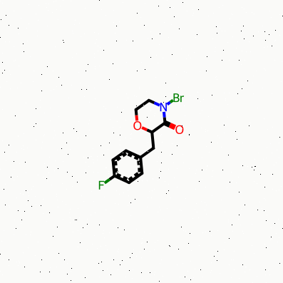 O=C1C(Cc2ccc(F)cc2)OCCN1Br